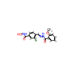 O=C(NO)c1ccc(C=NNC(=O)c2ccccc2OC(F)(F)F)c(F)c1